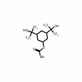 CCC(C)C(=O)OC1CC(C(O)(C(F)(F)F)C(F)(F)F)CC(C(O)(C(F)(F)F)C(F)(F)F)C1